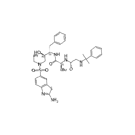 CC(C)CN(C[C@@H](O)[C@H](Cc1ccccc1)NC(=O)[C@@H](NC(=O)CNC(C)(C)c1ccccc1)C(C)(C)C)S(=O)(=O)c1ccc2nc(N)sc2c1